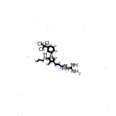 CCCNc1c(C)c(/C=C/C=N/NC(=N)N)cn1-c1cccc(C(Cl)(Cl)Cl)c1